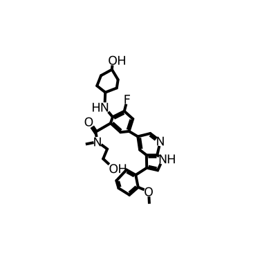 COc1ccccc1-c1c[nH]c2ncc(-c3cc(F)c(NC4CCC(O)CC4)c(C(=O)N(C)CCO)c3)cc12